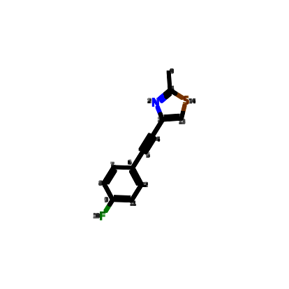 Cc1nc(C#Cc2c[c]c(F)cc2)cs1